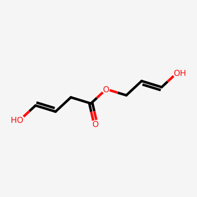 O=C(CC=CO)OCC=CO